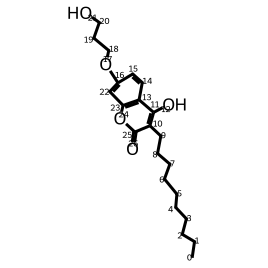 CCCCCCCCCCc1c(O)c2ccc(OCCCO)cc2oc1=O